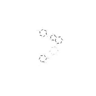 Cc1cccc(CN2CCN(c3cccc4[nH]c(-c5ccc(C(C)(C)C)cc5)nc34)CC2)n1